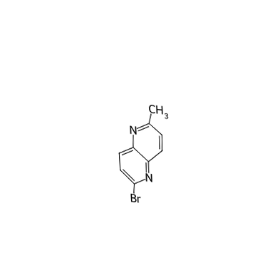 Cc1ccc2nc(Br)ccc2n1